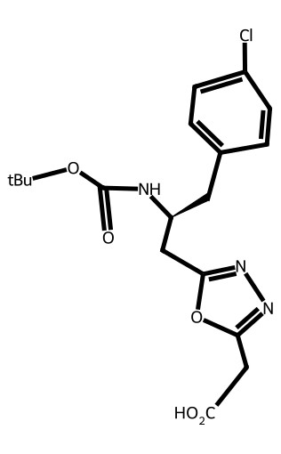 CC(C)(C)OC(=O)N[C@@H](Cc1ccc(Cl)cc1)Cc1nnc(CC(=O)O)o1